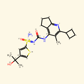 Cc1c(C2CCC2)nc2c(c1NC(=O)N=[S@](N)(=O)c1cc(C(C)(C)O)cs1)CCC2